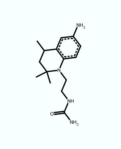 CC1CC(C)(C)N(CCNC(N)=O)c2ccc(N)cc21